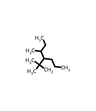 CCCC(C(C)CC)C(C)(C)C